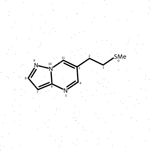 CSCCc1cnc2ccnn2c1